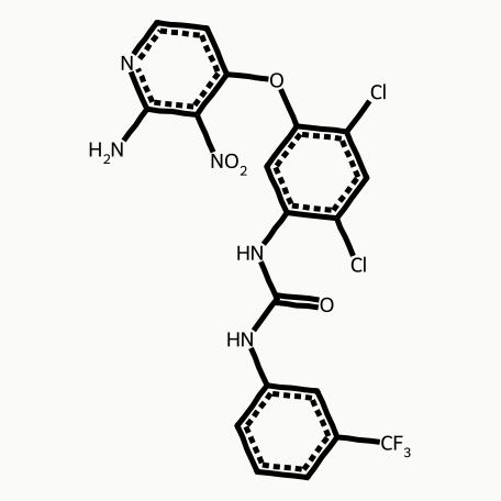 Nc1nccc(Oc2cc(NC(=O)Nc3cccc(C(F)(F)F)c3)c(Cl)cc2Cl)c1[N+](=O)[O-]